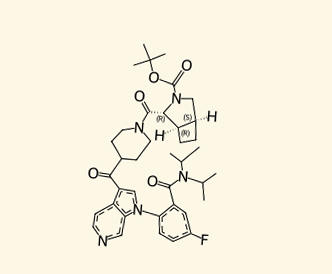 CC(C)N(C(=O)c1cc(F)ccc1-n1cc(C(=O)C2CCN(C(=O)[C@H]3[C@@H]4CC[C@@H]4CN3C(=O)OC(C)(C)C)CC2)c2ccncc21)C(C)C